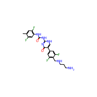 Cc1cc(F)c(NC(=O)Nc2nc(=O)c(-c3cc(F)c(CNCCCN)c(F)c3)c[nH]2)cc1F